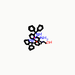 C/C(=C\CO)c1cc(NC(c2ccccc2)(c2ccccc2)c2ccccc2)nc(NC(c2ccccc2)(c2ccccc2)c2ccccc2)c1N